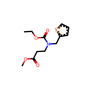 CCOC(=O)N(CCC(=O)OC)Cc1cccs1